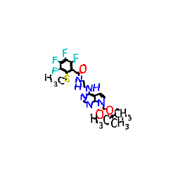 CSc1c(F)c(F)c(F)c(F)c1C(=O)NCCNc1ncnc2c1ccn2C(=O)OC(C)(C)C